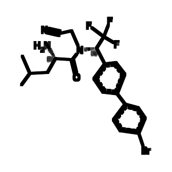 CC(C)C[C@H](N)C(=O)N(CC#N)[C@@H](c1ccc(-c2ccc(Br)cc2)cc1)C(F)(F)F